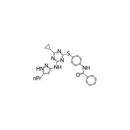 CCCc1cc(Nc2nc(Sc3ccc(NC(=O)c4ccccc4)cc3)nc(C3CC3)n2)n[nH]1